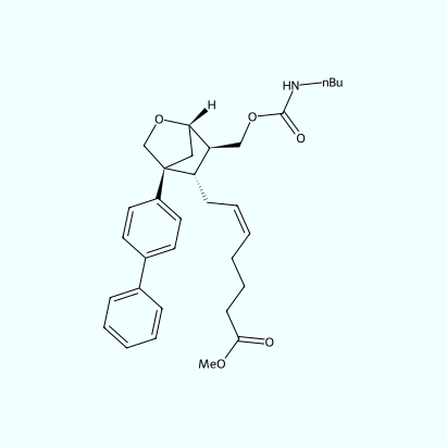 CCCCNC(=O)OC[C@@H]1[C@@H]2C[C@@](c3ccc(-c4ccccc4)cc3)(CO2)[C@H]1C/C=C\CCCC(=O)OC